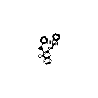 O=c1c2nccnc2nc(SCc2nc3ccccc3[nH]2)n1[C@@H]1C[C@H]1c1ccccc1